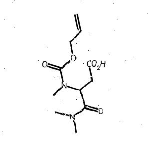 C=CCOC(=O)N(C)C(CC(=O)O)C(=O)N(C)C